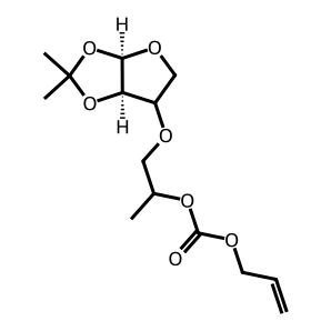 C=CCOC(=O)OC(C)COC1CO[C@@H]2OC(C)(C)O[C@H]12